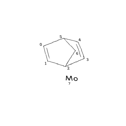 C1=CC2C=CC1C2.[Mo]